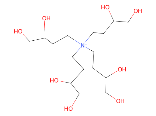 OCC(O)CC[N+](CCC(O)CO)(CCC(O)CO)CCC(O)CO